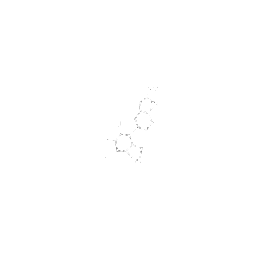 CNc1cc2cc(-c3c(C)c(F)c(OC(F)(F)F)c4[nH]ncc34)ccn2n1